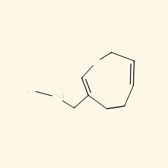 [Cl][Pd][CH2]C1=CCCC=CCC1